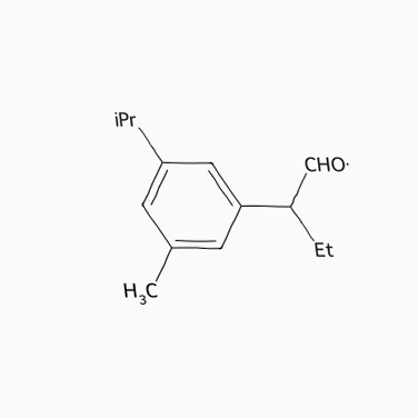 CCC([C]=O)c1cc(C)cc(C(C)C)c1